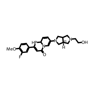 COc1ccc(C2=CC(=O)N3C=C(N4CC5CN(CCO)C[C@@H]5C4)C=CC3P2)cc1F